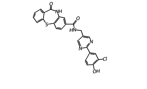 O=C(NCc1cnc(-c2ccc(O)c(Cl)c2)nc1)c1ccc2c(c1)NC(=O)c1ccccc1S2